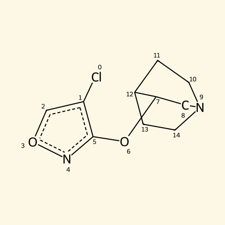 Clc1conc1OC1CN2CCC1CC2